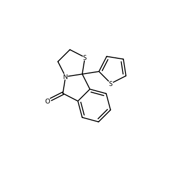 O=C1c2ccccc2C2(c3cccs3)SCCN12